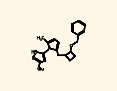 Cc1ccc(CC2CC[C@@H]2OCc2ccccc2)n1-c1cc(C(C)(C)C)n[nH]1